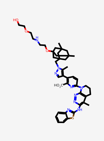 Cc1c(Nc2nc3ccccc3s2)nnc2c1CCCN2c1ccc(-c2cnn(CC34CC5(C)CC(C)(C3)CC(OCCNCCOCCO)(C5)C4)c2C)c(C(=O)O)n1